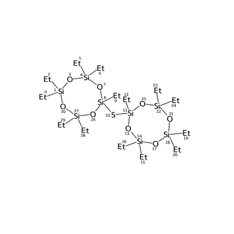 CC[Si]1(CC)O[Si](CC)(CC)O[Si](CC)(S[Si]2(CC)O[Si](CC)(CC)O[Si](CC)(CC)O[Si](CC)(CC)O2)O[Si](CC)(CC)O1